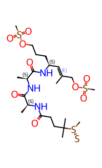 C/C(=C\[C@H](CCCOS(C)(=O)=O)NC(=O)[C@H](C)NC(=O)[C@H](C)NC(=O)CCC(C)(C)S(C)=S)COS(C)(=O)=O